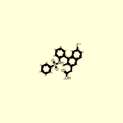 Cc1c(CC(=O)O)cc2ccc(F)cc2c1-c1ccccc1NS(=O)(=O)c1ccccc1